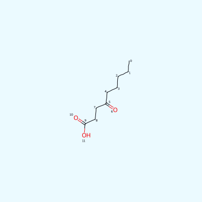 CCCCCC(=O)CCC(=O)O